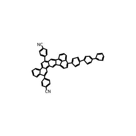 N#Cc1ccc(-c2cc3c4cc5c(cc4c(-c4ccc(C#N)cc4)cc3c3ccccc23)-c2cccc3c(-c4ccc(-c6ccc(-c7ccccc7)cc6)cc4)ccc-5c23)cc1